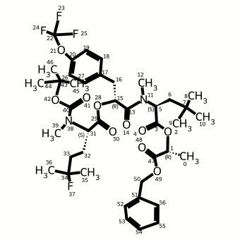 C[C@@H](OC(=O)[C@H](CC(C)(C)C)N(C)C(=O)[C@@H](Cc1ccc(OC(F)(F)F)cc1)OC(=O)[C@H](CCC(C)(C)F)N(C)C(=O)OC(C)(C)C)C(=O)OCc1ccccc1